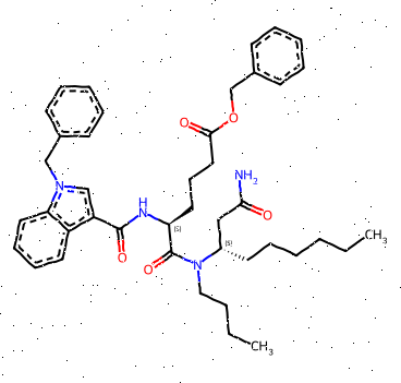 CCCCCC[C@@H](CC(N)=O)N(CCCC)C(=O)[C@H](CCCC(=O)OCc1ccccc1)NC(=O)c1cn(Cc2ccccc2)c2ccccc12